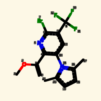 C=C(OC)c1nc(Br)c(C(F)(F)F)cc1-n1c(C)ccc1C